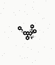 CC(=O)OC(C)c1c(C(O[SiH](c2ccccc2)c2ccccc2)C(C)(C)C)cc2cc(OCc3ccccc3)ccc2c1-c1ccccc1